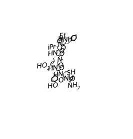 CCC(=O)N[C@@H](Cc1ccccc1)C(=O)N[C@H](C(=O)N[C@@H](CCC(=O)O)C(=O)N(C)CC(=O)N[C@@H](Cc1ccc(O)cc1)C(=O)N[C@@H](CS)C(=O)NCC(N)=O)C(C)C